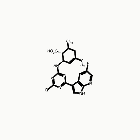 CC1=C[C@@H](Nc2nc(Cl)nc(-c3c[nH]c4ncc(F)cc34)n2)[C@H](C(=O)O)C(C)C1